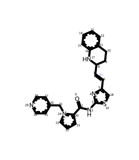 O=C(Nc1nc(/C=C/C2CCc3ccccc3N2)cs1)c1cccn1Cc1ccncc1